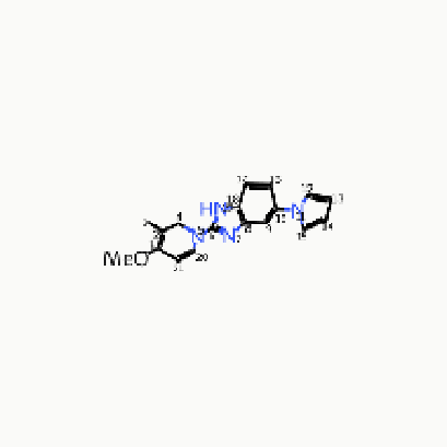 COC1=C(C)CN(c2nc3cc(-n4cccc4)ccc3[nH]2)C=C1